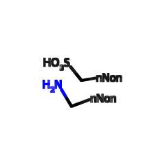 CCCCCCCCCCN.CCCCCCCCCCS(=O)(=O)O